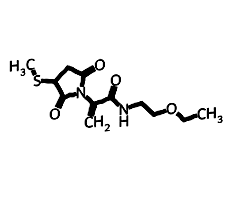 C=C(C(=O)NCCOCC)N1C(=O)CC(SC)C1=O